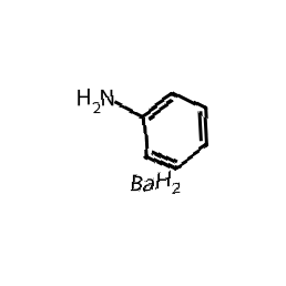 Nc1ccccc1.[BaH2]